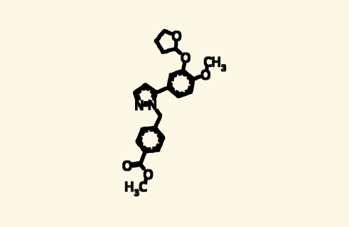 COC(=O)c1ccc(Cn2nccc2-c2ccc(OC)c(OC3CCCO3)c2)cc1